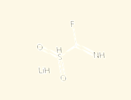 N=C(F)[SH](=O)=O.[LiH]